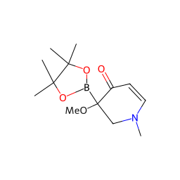 COC1(B2OC(C)(C)C(C)(C)O2)CN(C)C=CC1=O